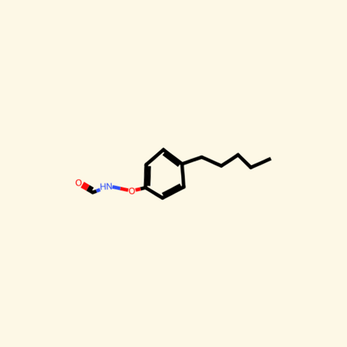 CCCCCc1ccc(ONC=O)cc1